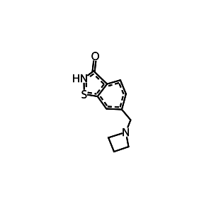 O=c1[nH]sc2cc(CN3CCC3)ccc12